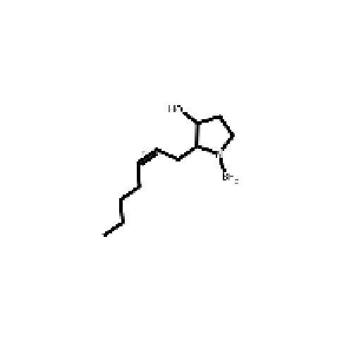 BN1CCC(O)C1C/C=C\CCCC